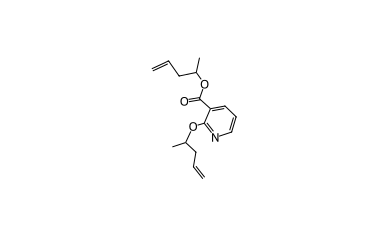 C=CCC(C)OC(=O)c1cccnc1OC(C)CC=C